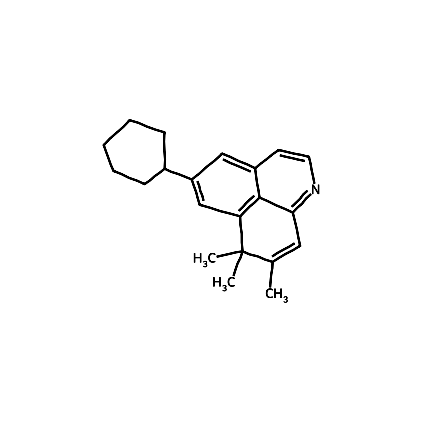 CC1=Cc2nccc3cc(C4CCCCC4)cc(c23)C1(C)C